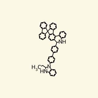 CCC1Nc2ccccc2N1c1ccc(-c2ccc(C3Nc4ccccc4-c4c3ccc3c4-c4ccccc4C34c3ccccc3-c3ccccc34)cc2)cc1